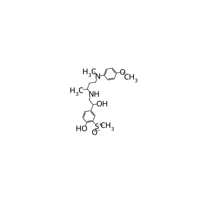 COc1ccc(N(C)CCC(C)NCC(O)c2ccc(O)c([S+](C)[O-])c2)cc1